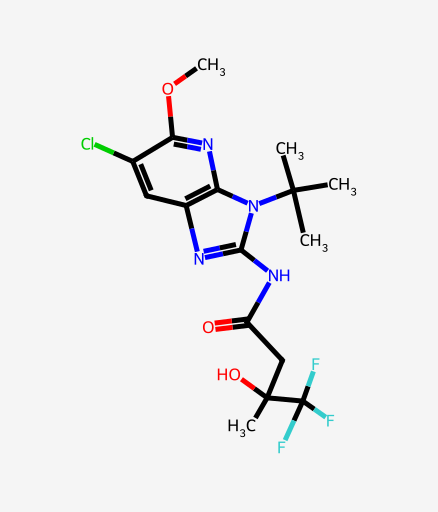 COc1nc2c(cc1Cl)nc(NC(=O)CC(C)(O)C(F)(F)F)n2C(C)(C)C